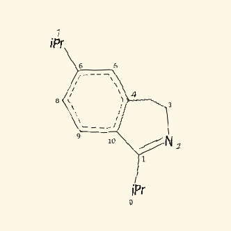 CC(C)C1=NCc2cc(C(C)C)ccc21